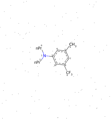 CCCN(CCC)c1cc(C)cc(C(F)(F)F)c1